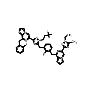 CCn1nc(-c2cn3ccnc3c(Cc3cccc(Cc4nc(-c5cn6ccnc6c(Cc6ccccc6F)n5)nn4CCC(F)(F)F)c3F)n2)nc1C